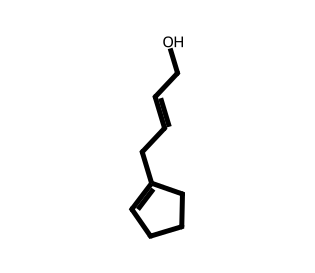 OCC=CCC1=CCCC1